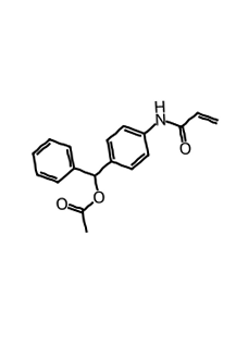 C=CC(=O)Nc1ccc(C(OC(C)=O)c2ccccc2)cc1